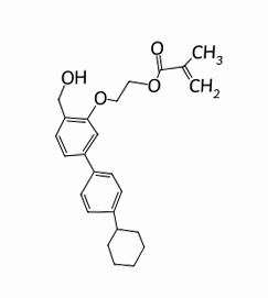 C=C(C)C(=O)OCCOc1cc(-c2ccc(C3CCCCC3)cc2)ccc1CO